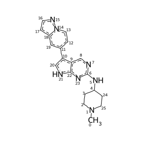 CN1CCC(Nc2ncc3c(-c4ccn5nccc5c4)c[nH]c3n2)CC1